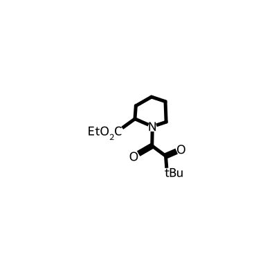 CCOC(=O)C1CCCCN1C(=O)C(=O)C(C)(C)C